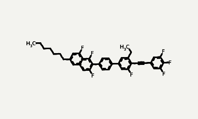 CCCCCCCc1cc(F)c2c(F)c(-c3ccc(-c4cc(F)c(C#Cc5cc(F)c(F)c(F)c5)c(CC)c4)cc3)c(F)cc2c1